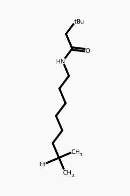 CCC(C)(C)CCCCCCNC(=O)CC(C)(C)C